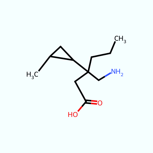 CCCC(CN)(CC(=O)O)C1CC1C